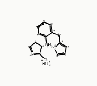 CC1CCC=N1.Cl.Nc1ccccc1Cc1cccs1